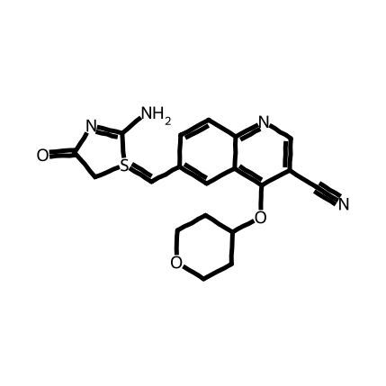 N#Cc1cnc2ccc(/C=S3/CC(=O)N=C3N)cc2c1OC1CCOCC1